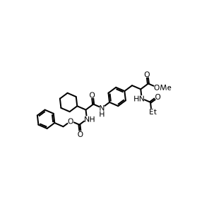 CCC(=O)NC(Cc1ccc(NC(=O)C(NC(=O)OCc2ccccc2)C2CCCCC2)cc1)C(=O)OC